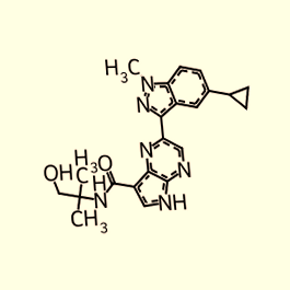 Cn1nc(-c2cnc3[nH]cc(C(=O)NC(C)(C)CO)c3n2)c2cc(C3CC3)ccc21